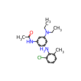 CCN(CC)c1cccc(NC(C)=O)c1.Cc1cccc(Cl)c1N